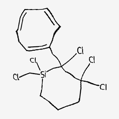 ClC1(Cl)CCC[Si](Cl)(Cl)C1(Cl)c1ccccc1